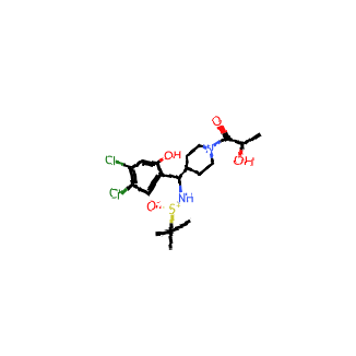 CC(O)C(=O)N1CCC(C(N[S@@+]([O-])C(C)(C)C)c2cc(Cl)c(Cl)cc2O)CC1